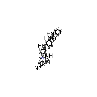 N#Cc1c[nH]c(/C=C2\C(=O)Nc3cc(Nc4cccc(NC(=O)Nc5ccccc5)c4)ccc32)c1